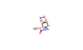 CC1(NC(=O)OC(C)(C)C)CCC2(CC1)OCCO2